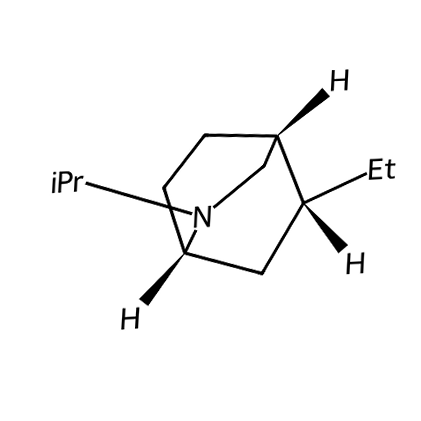 CC[C@@H]1C[C@@H]2CC[C@H]1CN2C(C)C